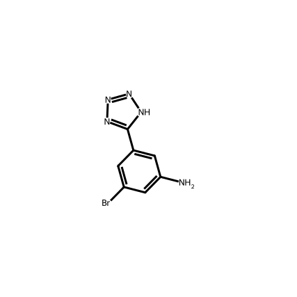 Nc1cc(Br)cc(-c2nnn[nH]2)c1